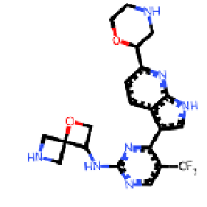 FC(F)(F)c1cnc(NC2COC23CNC3)nc1-c1c[nH]c2nc(C3CNCCO3)ccc12